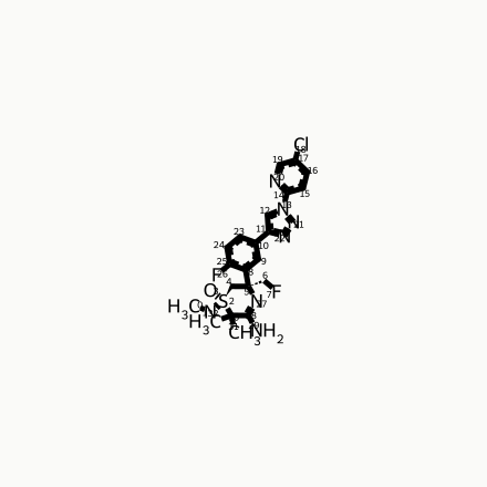 CN=[S@@]1(=O)C[C@@](CF)(c2cc(-c3cn(-c4ccc(Cl)cn4)nn3)ccc2F)N=C(N)C1(C)C